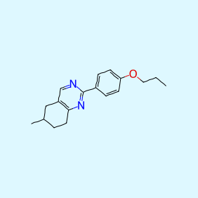 CCCOc1ccc(-c2ncc3c(n2)CCC(C)C3)cc1